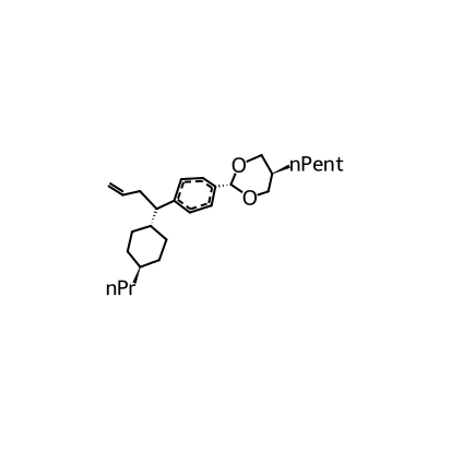 C=CCC(c1ccc([C@H]2OC[C@H](CCCCC)CO2)cc1)[C@H]1CC[C@H](CCC)CC1